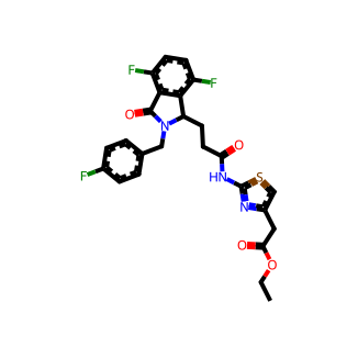 CCOC(=O)Cc1csc(NC(=O)CCC2c3c(F)ccc(F)c3C(=O)N2Cc2ccc(F)cc2)n1